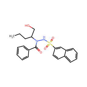 CCCC(CO)N(NS(=O)(=O)c1ccc2ccccc2c1)C(=O)c1ccccc1